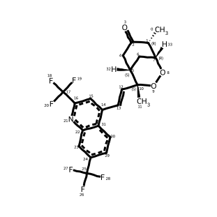 C[C@H]1C(=O)C[C@@H]2C[C@H]1OO[C@]2(C)C=Cc1cc(C(F)(F)F)nc2cc(C(F)(F)F)ccc12